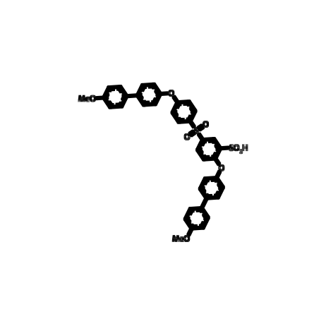 COc1ccc(-c2ccc(Oc3ccc(S(=O)(=O)c4ccc(Oc5ccc(-c6ccc(OC)cc6)cc5)c(S(=O)(=O)O)c4)cc3)cc2)cc1